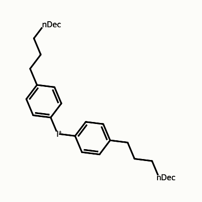 CCCCCCCCCCCCCc1ccc([I+]c2ccc(CCCCCCCCCCCCC)cc2)cc1